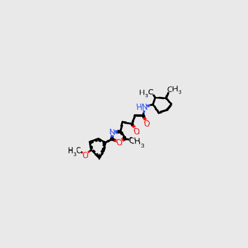 COc1ccc(-c2nc(CC(=O)CC(=O)NC3CCCC(C)C3C)c(C)o2)cc1